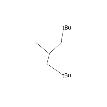 CC(CC(C)(C)C)CC(C)(C)C